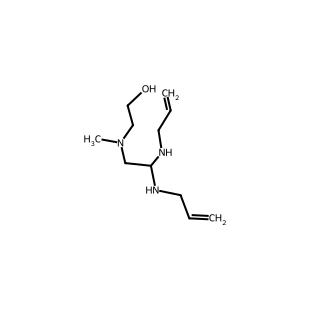 C=CCNC(CN(C)CCO)NCC=C